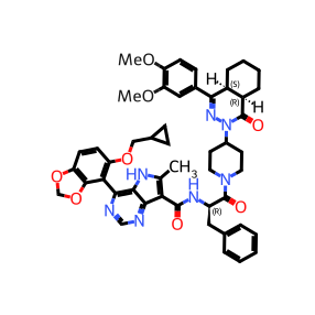 COc1ccc(C2=NN(C3CCN(C(=O)[C@@H](Cc4ccccc4)NC(=O)c4c(C)[nH]c5c(-c6c(OCC7CC7)ccc7c6OCO7)ncnc45)CC3)C(=O)[C@@H]3CCCC[C@H]23)cc1OC